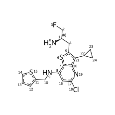 N[C@@H](CF)Cc1sc2c(NCc3cccs3)cc(Cl)nc2c1C1CC1